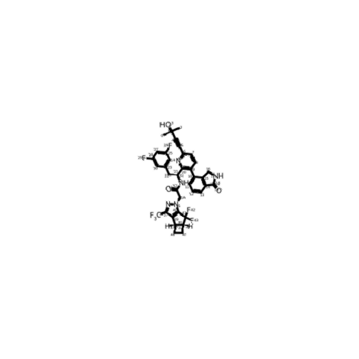 CC(C)(O)C#Cc1ccc(-c2cccc3c2CNC3=O)c([C@H](Cc2cc(F)cc(F)c2)NC(=O)Cn2nc(C(F)(F)F)c3c2C(F)(F)[C@@H]2CC[C@H]32)n1